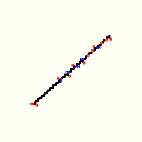 CC(=O)COCCOCCNC(=O)COCCOCCNC(=O)CCCNC(=O)CCCNC(=O)CCCNC(=O)CCCCCCCCCCCCCCCCC(=O)O